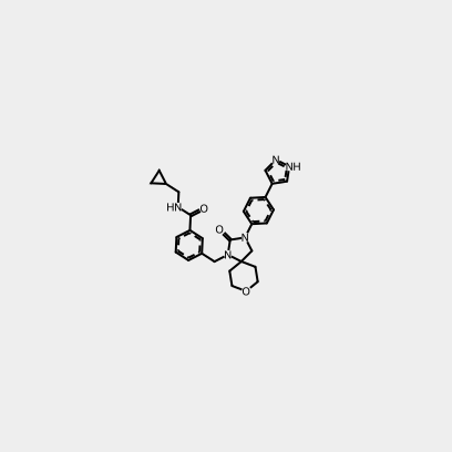 O=C(NCC1CC1)c1cccc(CN2C(=O)N(c3ccc(-c4cn[nH]c4)cc3)CC23CCOCC3)c1